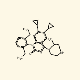 CCc1cccc(CC)c1-n1c(=O)nc(N2CCNC[C@@H]2C)c2cc(C3CC3)c(C3CC3)nc21